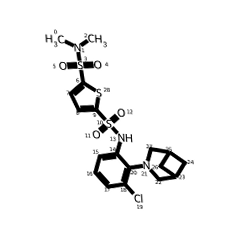 CN(C)S(=O)(=O)c1ccc(S(=O)(=O)Nc2cccc(Cl)c2N2CC3CC(C3)C2)s1